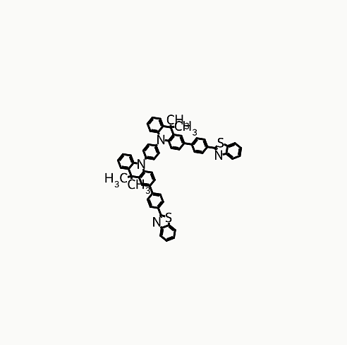 CC1(C)c2ccccc2N(c2ccc(N3c4ccccc4C(C)(C)c4cc(-c5ccc(-c6nc7ccccc7s6)cc5)ccc43)cc2)c2ccc(-c3ccc(-c4nc5ccccc5s4)cc3)cc21